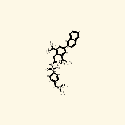 CC(C)c1cc(-c2ccc3ccccc3c2)cc(C(C)C)c1CC(=O)NS(=O)(=O)c1ccc(CN(C)C)cc1